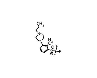 CCCN1CCN(c2cccc(S(=O)(=O)C(F)(F)F)c2C)CC1